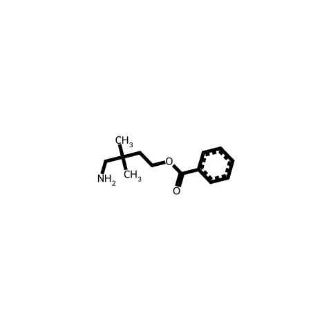 CC(C)(CN)CCOC(=O)c1ccccc1